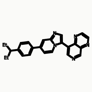 CCC(CC)c1ccc(-c2ccn3c(-c4cncc5nccnc45)cnc3c2)cc1